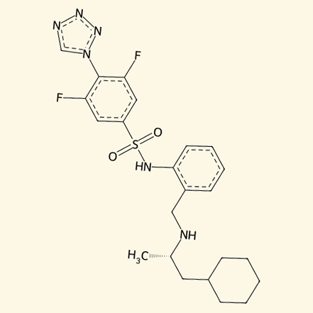 C[C@@H](CC1CCCCC1)NCc1ccccc1NS(=O)(=O)c1cc(F)c(-n2cnnn2)c(F)c1